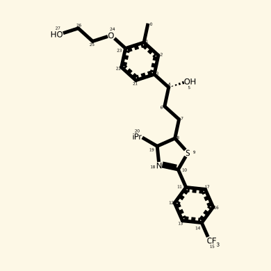 Cc1cc([C@H](O)CCC2SC(c3ccc(C(F)(F)F)cc3)=NC2C(C)C)ccc1OCCO